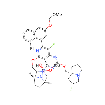 CCc1cccc2cc(OCOC)cc(-c3nc4c5c(nc(OC[C@]67CCCN6C[C@H](F)C7)nc5c3F)N3C[C@@H]5CC[C@H]([C@H]3CO4)N5C(=O)OC(C)(C)C)c12